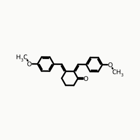 COc1ccc(C=C2CCCC(=O)C2=Cc2ccc(OC)cc2)cc1